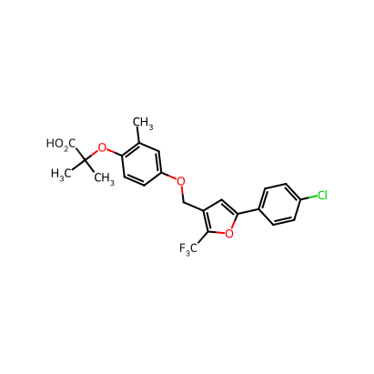 Cc1cc(OCc2cc(-c3ccc(Cl)cc3)oc2C(F)(F)F)ccc1OC(C)(C)C(=O)O